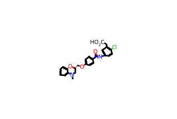 CN1C[C@@H](COc2ccc(C(=O)Nc3ccc(Cl)c(CC(=O)O)c3)cc2)Oc2ccccc21